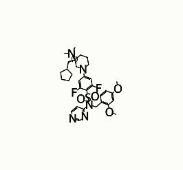 COc1ccc(CN(c2ccncn2)S(=O)(=O)c2c(F)cc(N3CCC[C@@](CC4CCCC4)(N(C)C)C3)cc2F)c(OC)c1